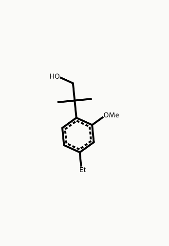 CCc1ccc(C(C)(C)CO)c(OC)c1